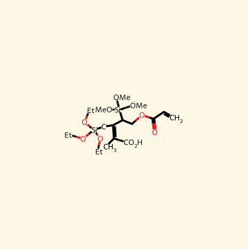 C=CC(=O)OCC(C(C[Si](OCC)(OCC)OCC)=C(C)C(=O)O)[Si](OC)(OC)OC